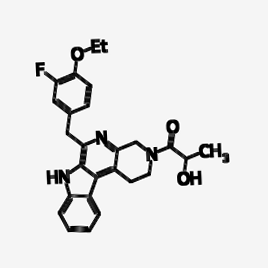 CCOc1ccc(Cc2nc3c(c4c2[nH]c2ccccc24)CCN(C(=O)C(C)O)C3)cc1F